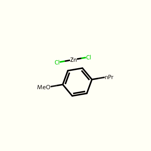 [CH2]CCc1ccc(OC)cc1.[Cl][Zn][Cl]